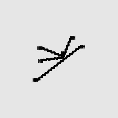 S[CH]CCCCCCCCCCCCCCCCC(CCCCCCCCCCS)C(CCCCCCCCCCS)(CCCCCCCCCCS)[C](S)CCCCCCCCCCS